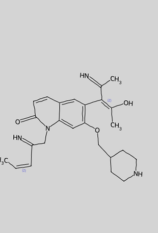 C/C=C\C(=N)Cn1c(=O)ccc2cc(/C(C(C)=N)=C(\C)O)c(OCC3CCNCC3)cc21